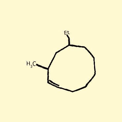 CCC1CCCCCC=CC(C)C1